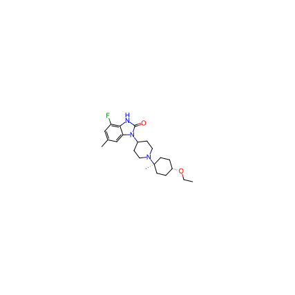 CCO[C@H]1CC[C@](C)(N2CCC(n3c(=O)[nH]c4c(F)cc(C)cc43)CC2)CC1